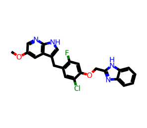 COc1cnc2[nH]cc(Cc3cc(Cl)c(OCc4nc5ccccc5[nH]4)cc3F)c2c1